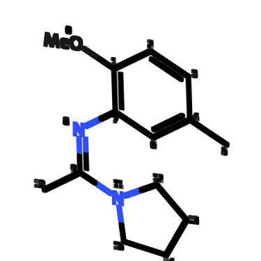 COc1ccc(C)cc1N=C(C)N1CCCC1